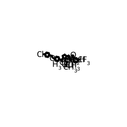 C[Si](C)(C)CCC1(C(=O)O)C(Cn2nnc3ccc(C(F)(F)F)cc3c2=O)CCC1C(=O)c1ccc(OCc2ccc(Cl)cc2)cc1